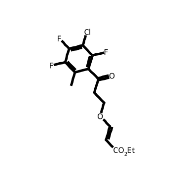 CCOC(=O)C=COCCC(=O)c1c(C)c(F)c(F)c(Cl)c1F